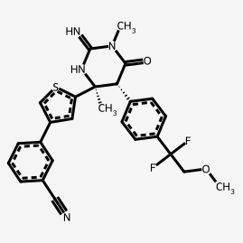 COCC(F)(F)c1ccc([C@H]2C(=O)N(C)C(=N)N[C@]2(C)c2cc(-c3cccc(C#N)c3)cs2)cc1